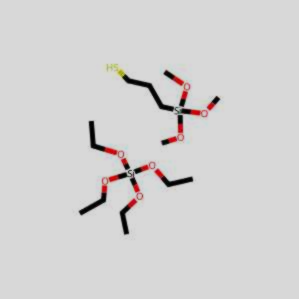 CCO[Si](OCC)(OCC)OCC.CO[Si](CCCS)(OC)OC